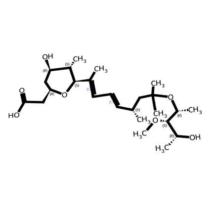 CO[C@@H]([C@@H](C)O)[C@@H](C)OC(C)(C)C[C@H](C)/C=C/C=C(\C)[C@H]1O[C@@H](CC(=O)O)C[C@@H](O)[C@@H]1C